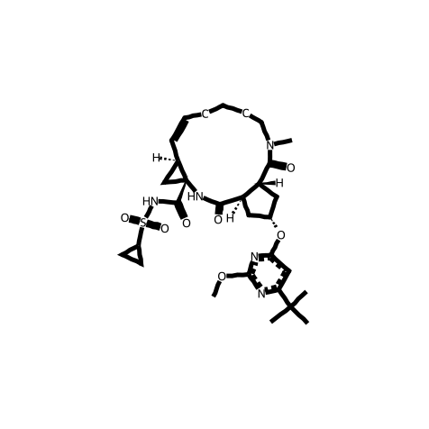 COc1nc(O[C@@H]2C[C@H]3C(=O)N[C@]4(C(=O)NS(=O)(=O)C5CC5)C[C@H]4/C=C\CCCCN(C)C(=O)[C@@H]3C2)cc(C(C)(C)C)n1